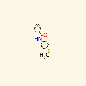 CSc1ccc(NC(=O)C2CC3CCC2C32CC2)cc1